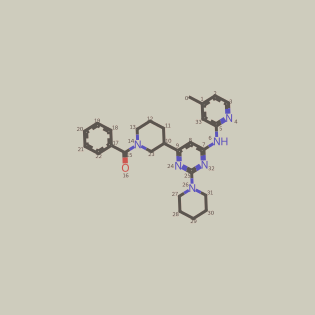 Cc1ccnc(Nc2cc(C3CCCN(C(=O)c4ccccc4)C3)nc(N3CCCCC3)n2)c1